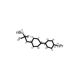 CCCCC(F)(F)CC1CCC(C2CCC(CCC)CC2)CC1